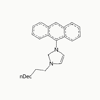 CCCCCCCCCCCCN1C=CN(c2c3ccccc3cc3ccccc23)C1